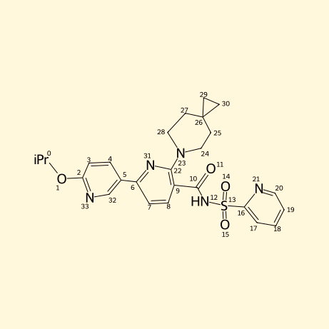 CC(C)Oc1ccc(-c2ccc(C(=O)NS(=O)(=O)c3ccccn3)c(N3CCC4(CC3)CC4)n2)cn1